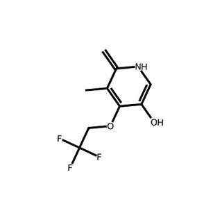 C=C1NC=C(O)C(OCC(F)(F)F)=C1C